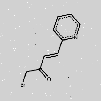 O=C(/C=C/c1ccccn1)CBr